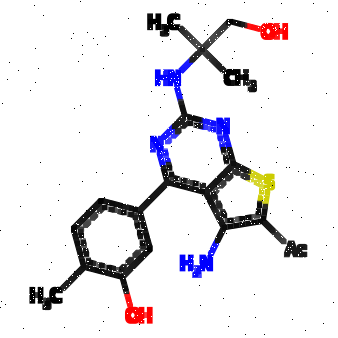 CC(=O)c1sc2nc(NC(C)(C)CO)nc(-c3ccc(C)c(O)c3)c2c1N